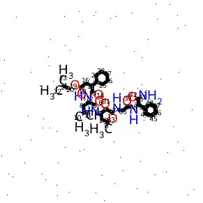 CCCC(NC(=O)C(CC(C)C)NC(=O)C(CC(=O)OCC(C)C)C1CCCCC1)C(=O)C(=O)NCC(=O)NC(C(N)=O)c1ccccc1